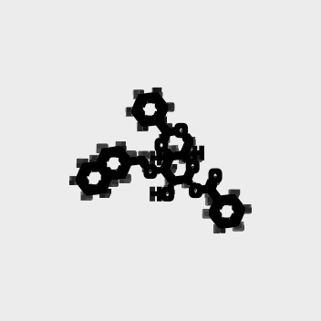 O=C(O[C@H]1O[C@@H]2COC(c3ccccc3)O[C@H]2[C@H](OCc2ccc3ccccc3c2)[C@H]1O)c1ccccc1